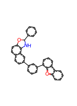 c1ccc(C2Nc3c(ccc4ccc(-c5cccc(-c6cccc7c6oc6ccccc67)c5)cc34)O2)cc1